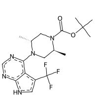 C[C@@H]1CN(C(=O)OC(C)(C)C)[C@@H](C)CN1c1ncnc2[nH]cc(C(F)(F)F)c12